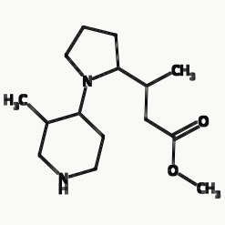 COC(=O)CC(C)C1CCCN1C1CCNCC1C